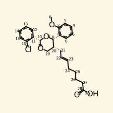 COc1ccccc1[C@H]1O[C@@H](c2ccccc2Cl)OC[C@H]1CC=CCCCCC(=O)O